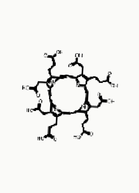 O=C(O)CCC1=C(CC(=O)O)c2cc3[nH]c(cc4nc(cc5[nH]c(cc1n2)c(CC(=O)O)c5CCC(=O)O)C(CCC(=O)O)=C4CC(=O)O)c(CC(=O)O)c3CCC(=O)O